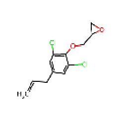 C=CCc1cc(Cl)c(OCC2CO2)c(Cl)c1